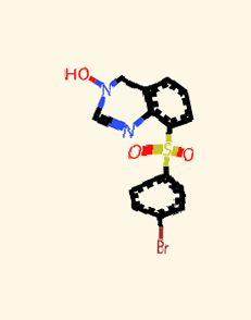 O=S(=O)(c1ccc(Br)cc1)c1cccc2c1N=CN(O)C2